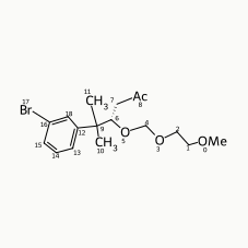 COCCOCO[C@@H](CC(C)=O)C(C)(C)c1cccc(Br)c1